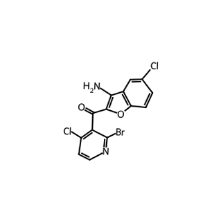 Nc1c(C(=O)c2c(Cl)ccnc2Br)oc2ccc(Cl)cc12